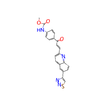 COC(=O)Nc1ccc(C(=O)/C=C/c2ccc3cc(-c4csnn4)ccc3n2)cc1